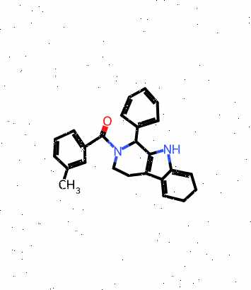 Cc1cccc(C(=O)N2CCc3c([nH]c4c3=CCCC=4)C2c2ccccc2)c1